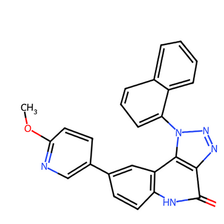 COc1ccc(-c2ccc3[nH]c(=O)c4nnn(-c5cccc6ccccc56)c4c3c2)cn1